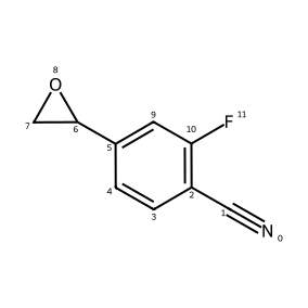 N#Cc1ccc(C2CO2)cc1F